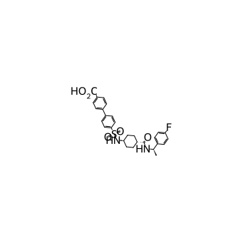 C[C@@H](NC(=O)[C@H]1CC[C@H](NS(=O)(=O)c2ccc(-c3ccc(C(=O)O)cc3)cc2)CC1)c1ccc(F)cc1